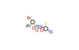 CC(C)c1cc(Br)ccc1[S+]([O-])NC(=O)c1cc2c(F)cc(N3CCC3)cc2o1